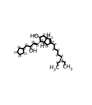 CCN(CC)CCCCCC1=C[C@H]2C[C@@H](O)[C@H](/C=C/[C@@H](O)CC3CCCC3)[C@H]2C1